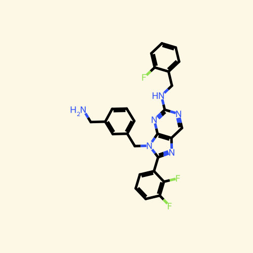 NCc1cccc(Cn2c(-c3cccc(F)c3F)nc3cnc(NCc4ccccc4F)nc32)c1